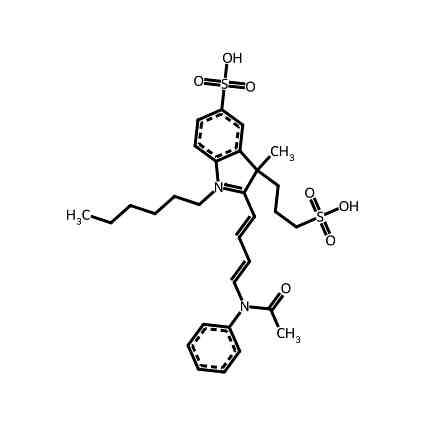 CCCCCC[N+]1=C(/C=C/C=C/N(C(C)=O)c2ccccc2)C(C)(CCCS(=O)(=O)O)c2cc(S(=O)(=O)O)ccc21